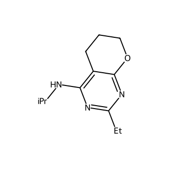 CCc1nc(NC(C)C)c2c(n1)OCCC2